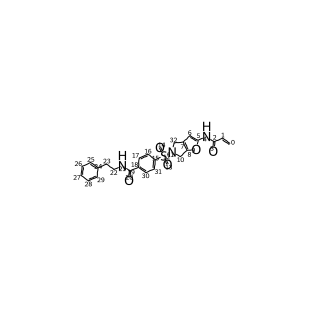 C=CC(=O)Nc1cc2c(o1)CN(S(=O)(=O)c1ccc(C(=O)NCCc3ccccc3)cc1)C2